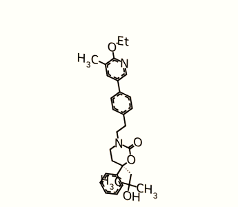 CCOc1ncc(-c2ccc(CCN3CC[C@](CC(C)(C)O)(c4ccccc4)OC3=O)cc2)cc1C